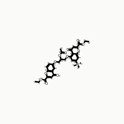 CCOC(=O)c1cc(=O)c2cc(OCC(COc3cc([N+](C)(C)C)cc4oc(C(=O)OCC)cc(=O)c34)OC(C)=O)ccc2o1